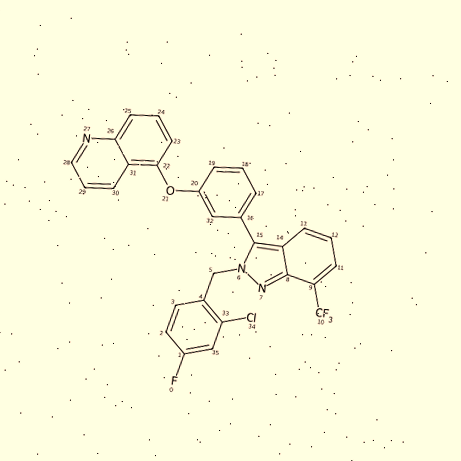 Fc1ccc(Cn2nc3c(C(F)(F)F)cccc3c2-c2cccc(Oc3cccc4ncccc34)c2)c(Cl)c1